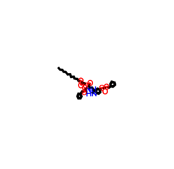 CCCCCCCCCCCCOC(=O)COC(=O)C(Cc1c[nH]c2ccc(OC(=O)OCc3ccccc3)cc12)NC(=O)OCc1ccccc1